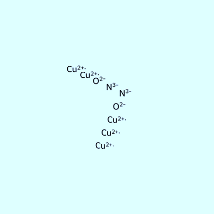 [Cu+2].[Cu+2].[Cu+2].[Cu+2].[Cu+2].[N-3].[N-3].[O-2].[O-2]